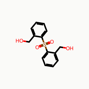 O=S(=O)(c1ccccc1CO)c1ccccc1CO